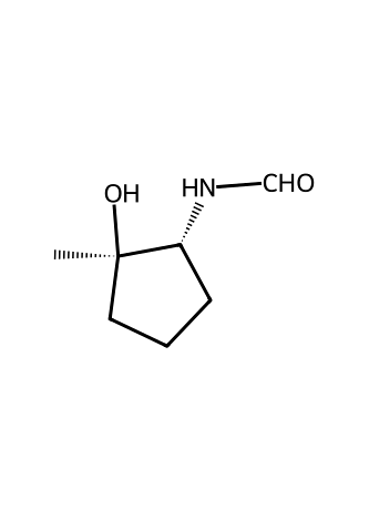 C[C@@]1(O)CCC[C@H]1NC=O